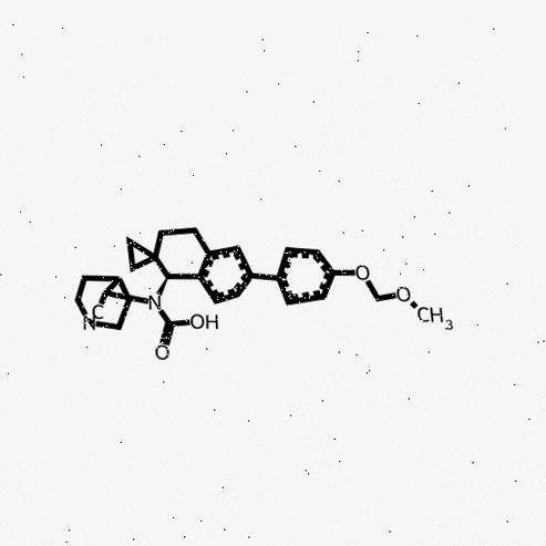 COCOc1ccc(-c2ccc3c(c2)CCC2(CC2)[C@@H]3N(C(=O)O)C2CN3CCC2CC3)cc1